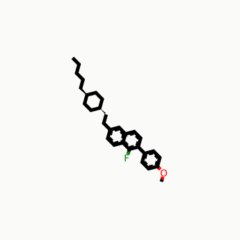 CCCCC[C@H]1CC[C@H](CCc2ccc3c(F)c(-c4ccc(OC)cc4)ccc3c2)CC1